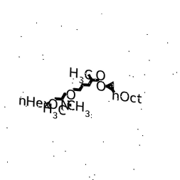 CCCCCCCCC1CC1OC(=O)C(C)CCCCOCC(COCCCCCC)N(C)C